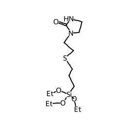 CCO[Si](CCCSCCN1CCNC1=O)(OCC)OCC